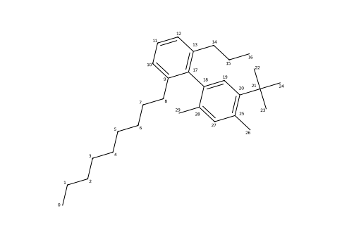 CCCCCCCCCc1cccc(CCC)c1-c1cc(C(C)(C)C)c(C)cc1C